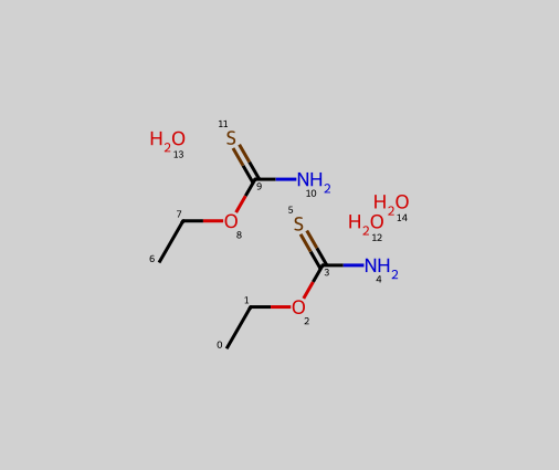 CCOC(N)=S.CCOC(N)=S.O.O.O